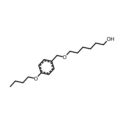 CCCCOc1ccc(COCCCCCCO)cc1